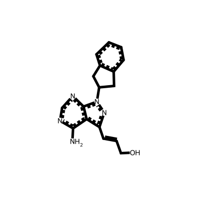 Nc1ncnc2c1c(/C=C/CO)nn2C1Cc2ccccc2C1